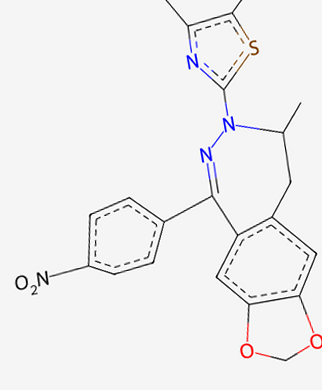 Cc1nc(N2N=C(c3ccc([N+](=O)[O-])cc3)c3cc4c(cc3CC2C)OCO4)sc1C